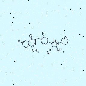 COc1ccc(F)cc1C(=O)NCc1ccc(-c2nn(C3CCCOC3)c(N)c2C#N)cc1F